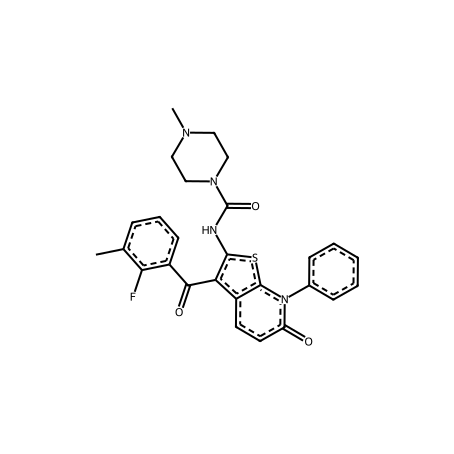 Cc1cccc(C(=O)c2c(NC(=O)N3CCN(C)CC3)sc3c2ccc(=O)n3-c2ccccc2)c1F